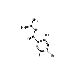 Cc1cc(C(=O)NC(=N)N)ccc1Br.Cl